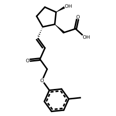 Cc1cccc(OCC(=O)C=C[C@@H]2CC[C@@H](O)[C@H]2CC(=O)O)c1